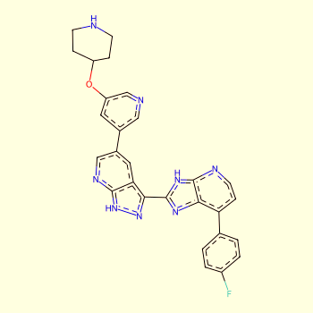 Fc1ccc(-c2ccnc3[nH]c(-c4n[nH]c5ncc(-c6cncc(OC7CCNCC7)c6)cc45)nc23)cc1